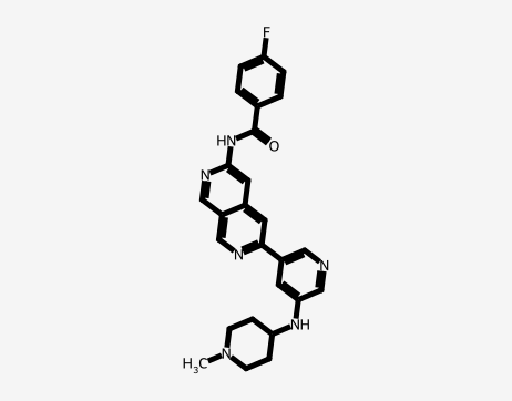 CN1CCC(Nc2cncc(-c3cc4cc(NC(=O)c5ccc(F)cc5)ncc4cn3)c2)CC1